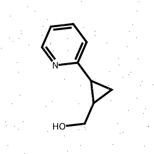 OCC1CC1c1ccccn1